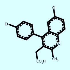 CCc1ccc(-c2c(CC(=O)O)c(C)nc3ccc(Cl)cc23)cc1